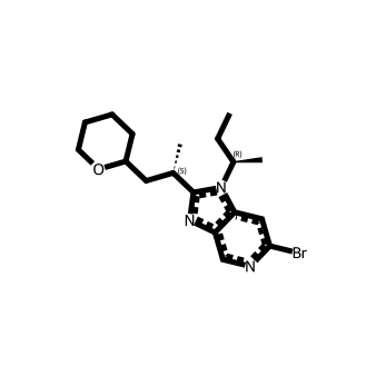 CC[C@@H](C)n1c([C@@H](C)CC2CCCCO2)nc2cnc(Br)cc21